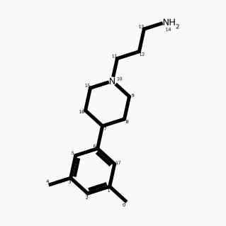 Cc1cc(C)cc(C2CCN(CCCN)CC2)c1